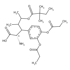 CCC(=O)Oc1ccc(C(C(C)C(C)OC(=O)C(C)(C)CC)[C@H](N)C(=O)O)cc1OC(=O)CC